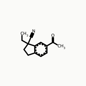 CCC1(C#N)CCc2ccc(C(C)=O)cc21